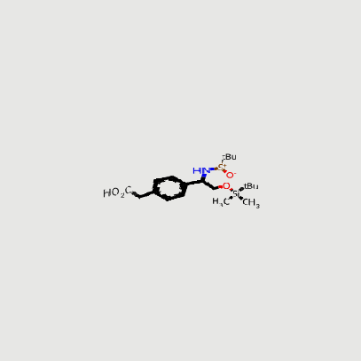 CC(C)(C)[S@+]([O-])NC(CO[Si](C)(C)C(C)(C)C)c1ccc(CC(=O)O)cc1